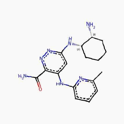 Cc1cccc(Nc2cc(N[C@H]3CCCC[C@H]3N)nnc2C(N)=O)n1